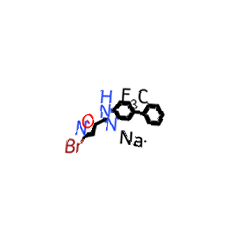 FC(F)(F)c1ccccc1-c1ccc2[nH]c(-c3cc(Br)no3)nc2c1.[Na]